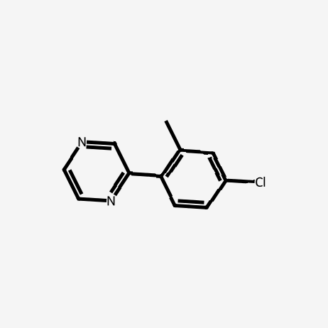 Cc1cc(Cl)ccc1-c1cnccn1